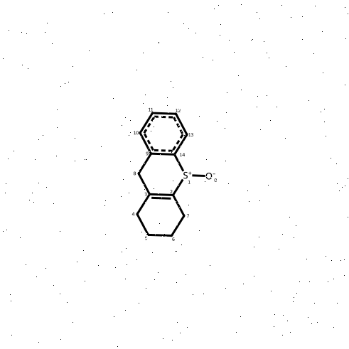 [O-][S+]1C2=C(CCCC2)Cc2ccccc21